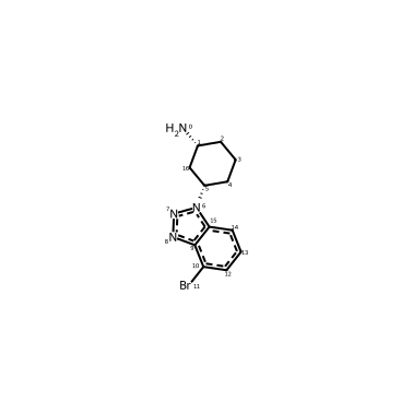 N[C@@H]1CCC[C@H](n2nnc3c(Br)cccc32)C1